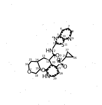 O=C(Nc1nc2cccnc2s1)[C@H](CC1CCOCC1)c1c(S(=O)(=O)C2CC2)cc[nH]c1=O